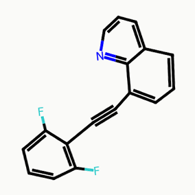 Fc1cccc(F)c1C#Cc1cccc2cccnc12